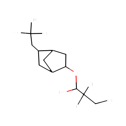 CC(C)CC(C)(C(C)C)C(O)OC1CC2CC1CC2CC(C)(C)C(F)(F)F